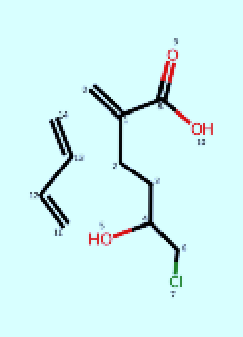 C=C(CCC(O)CCl)C(=O)O.C=CC=C